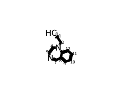 C#CCN1C=CN=Cc2ccccc21